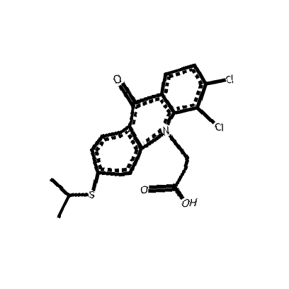 CC(C)Sc1ccc2c(=O)c3ccc(Cl)c(Cl)c3n(CC(=O)O)c2c1